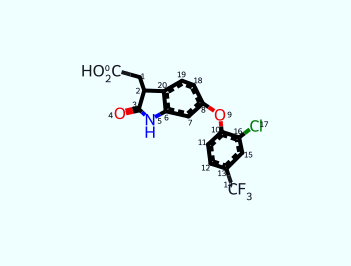 O=C(O)CC1C(=O)Nc2cc(Oc3ccc(C(F)(F)F)cc3Cl)ccc21